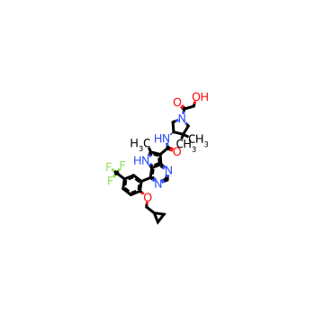 Cc1[nH]c2c(-c3cc(C(F)(F)F)ccc3OCC3CC3)ncnc2c1C(=O)N[C@@H]1CN(C(=O)CO)CC1(C)C